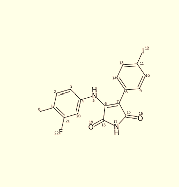 Cc1ccc(NC2=C(c3ccc(I)cc3)C(=O)NC2=O)cc1F